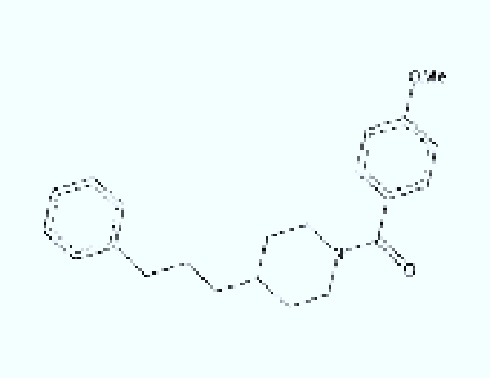 COc1ccc(C(=O)N2CCC(CCCc3ccccc3)CC2)cc1